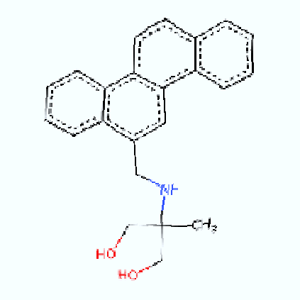 CC(CO)(CO)NCc1cc2c3ccccc3ccc2c2ccccc12